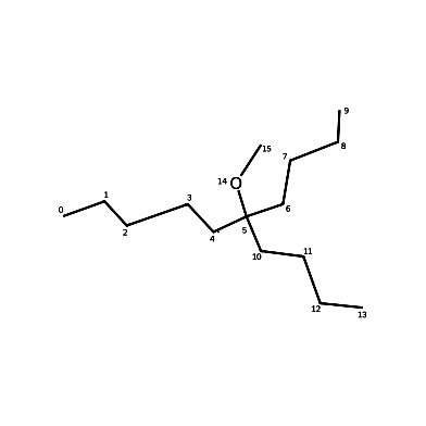 CCCC[CH]C(CCCC)(CCCC)OC